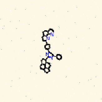 c1ccc(-c2cc(-c3ccc(-c4ccc5ccc6cccnc6c5n4)cc3)nc(-c3ccc4ccc5cccc6ccc3c4c56)n2)cc1